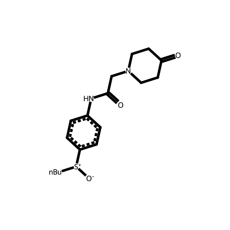 CCCC[S+]([O-])c1ccc(NC(=O)CN2CCC(=O)CC2)cc1